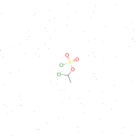 CC(Cl)OS(=O)(=O)Cl